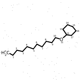 [CH2]CCCCCCCCCCOC1[CH]CCCC1